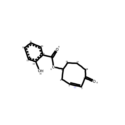 O=C1/C=C\CC(OC(=O)c2ccccc2O)CCC1